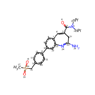 CCCN(CCC)C(=O)C1=Cc2ccc(-c3ccc(CS(C)(=O)=O)cc3)cc2N=C(N)C1